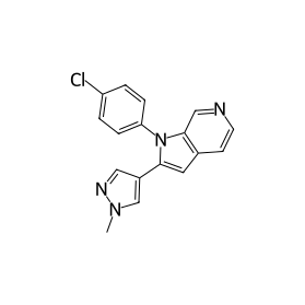 Cn1cc(-c2cc3ccncc3n2-c2ccc(Cl)cc2)cn1